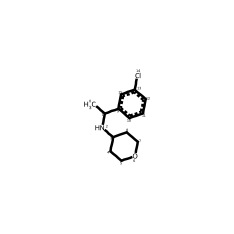 CC(NC1CCOCC1)c1cccc(Cl)c1